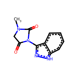 CN1CC(=O)N(c2n[nH]c3ccccc23)C1=O